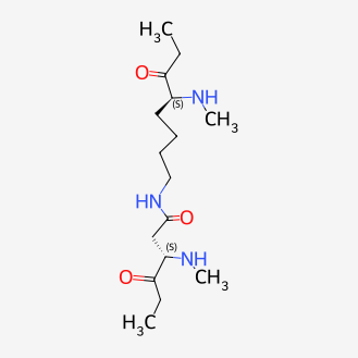 CCC(=O)[C@H](CCCCNC(=O)C[C@H](NC)C(=O)CC)NC